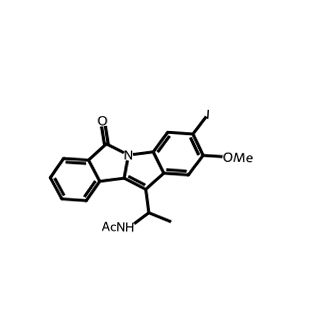 COc1cc2c(C(C)NC(C)=O)c3n(c2cc1I)C(=O)c1ccccc1-3